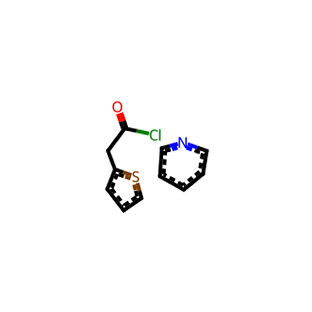 O=C(Cl)Cc1cccs1.c1ccncc1